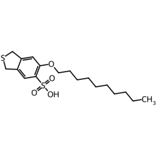 CCCCCCCCCCOc1cc2c(cc1S(=O)(=O)O)CSC2